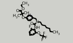 CCCCCCCN(Cc1ccc(OC(C)(C)C(=O)OCC)cc1)C(=O)Nc1c(F)cccc1OCC(F)(F)F